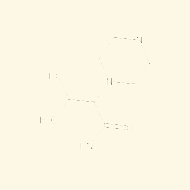 CC(C)C(C(N)=O)N1CC[N]CC1